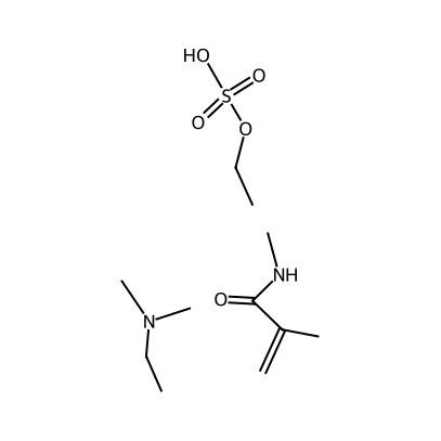 C=C(C)C(=O)NC.CCN(C)C.CCOS(=O)(=O)O